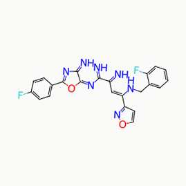 N=C(/C=C(\NCc1ccccc1F)c1ccon1)C(=N)/N=C1/OC(c2ccc(F)cc2)=NC1=N